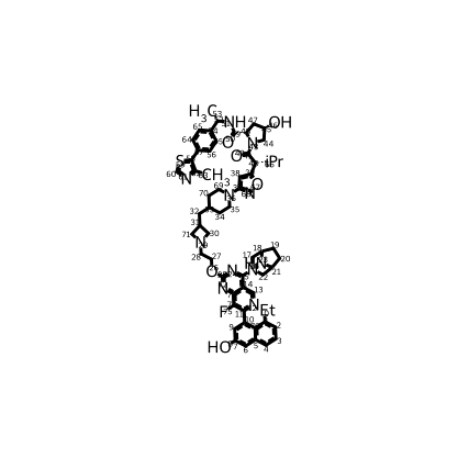 CCc1cccc2cc(O)cc(-c3ncc4c(N5CC6CCC(C5)N6)nc(OCCN5CC(CC6CCN(c7cc([C@H](C(=O)N8C[C@H](O)C[C@H]8C(=O)N[C@@H](C)c8ccc(-c9scnc9C)cc8)C(C)C)on7)CC6)C5)nc4c3F)c12